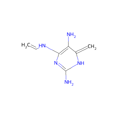 C=CNC1=C(N)C(=C)NC(N)=N1